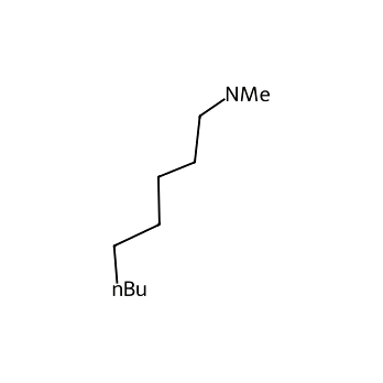 CCCCCCCCCNC